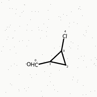 O=[C]C1CC1Cl